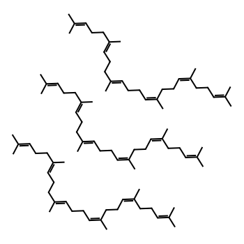 CC(C)=CCCC(C)=CCCC(C)=CCCC=C(C)CCC=C(C)CCC=C(C)C.CC(C)=CCCC(C)=CCCC(C)=CCCC=C(C)CCC=C(C)CCC=C(C)C.CC(C)=CCCC(C)=CCCC(C)=CCCC=C(C)CCC=C(C)CCC=C(C)C